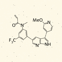 C=CC(=O)N(C)c1cc(-c2cnc3[nH]cc(-c4ccnc(OC)c4)c3c2)cc(C(F)(F)F)c1